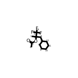 CC(=O)OC(C)(CC1CCCCC1)C(F)(F)F